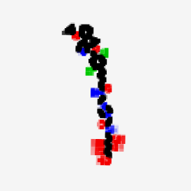 O=C(CCCCc1cc(Cl)c(COC2(c3cnccc3-c3ccccc3OC3CC3)CC2)cc1Cl)NCCN1CCN(CC(=O)NC[C@H](O)[C@@H](O)[C@H](O)[C@H](O)CO)CC1